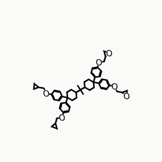 CC(C)(C1CCC(c2ccc(OCC3CC3)cc2)(c2ccc(OCC3CC3)cc2)CC1)C1CCC(c2ccc(OCC3CO3)cc2)(c2ccc(OCC3CO3)cc2)CC1